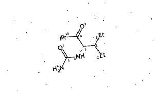 CCC(CC)[C@H](NC(N)=O)C(=O)C(C)C